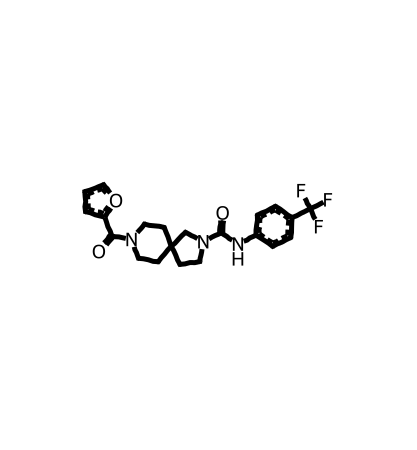 O=C(Nc1ccc(C(F)(F)F)cc1)N1CCC2(CCN(C(=O)c3ccco3)CC2)C1